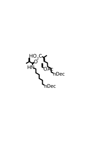 C=C(C)C(=O)NCCCCCCCCCCCCCCCC.C=COC(C)=O.CCCCCCCCCCCCCCC=C(C)C(=O)O